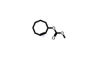 COC(=O)OC1/C=C\CCCCC1